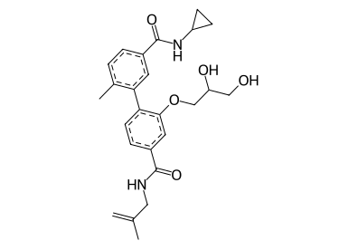 C=C(C)CNC(=O)c1ccc(-c2cc(C(=O)NC3CC3)ccc2C)c(OCC(O)CO)c1